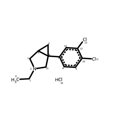 CCN1CC2CC2(c2ccc(Cl)c(Cl)c2)C1.Cl